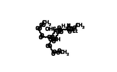 C=CCOCC(CC)(COCC=C)COC(=O)NCCCCCCN(C(=O)CCC(C=O)CCCCCCNC(=O)OCCCCCC(=O)OCCCCCC(=O)OCCOC(=O)C=C)C(=O)NCCCCCCNC(=O)OCCCCCC(=O)OCCCCCC(=O)OCCOC(=O)C=C